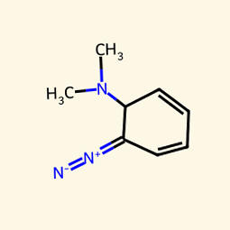 CN(C)C1C=CC=CC1=[N+]=[N-]